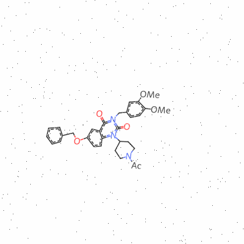 COc1ccc(Cn2c(=O)c3cc(OCc4ccccc4)ccc3n(C3CCN(C(C)=O)CC3)c2=O)cc1OC